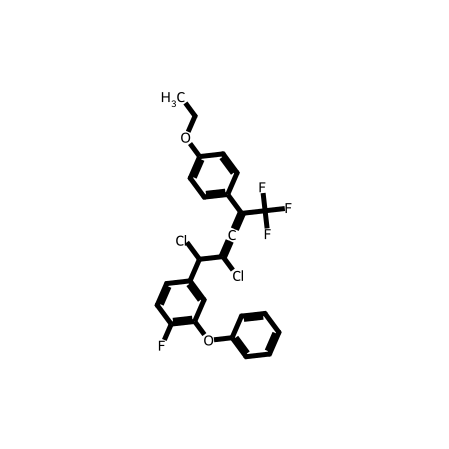 CCOc1ccc(C(=C=C(Cl)C(Cl)c2ccc(F)c(Oc3ccccc3)c2)C(F)(F)F)cc1